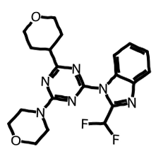 FC(F)c1nc2ccccc2n1-c1nc(C2CCOCC2)nc(N2CCOCC2)n1